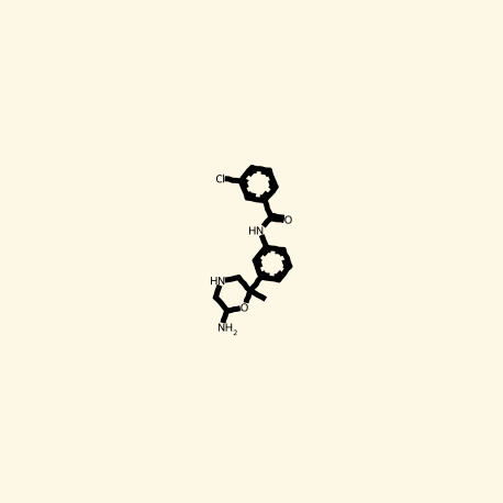 CC1(c2cccc(NC(=O)c3cccc(Cl)c3)c2)CNCC(N)O1